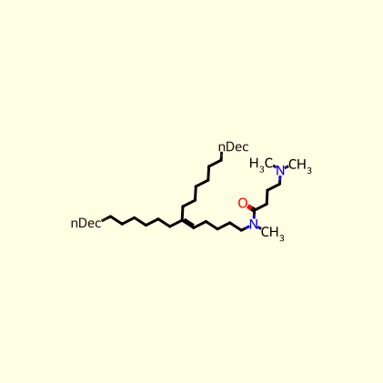 CCCCCCCCCCCCCCCCC(=CCCCCN(C)C(=O)CCCN(C)C)CCCCCCCCCCCCCCCC